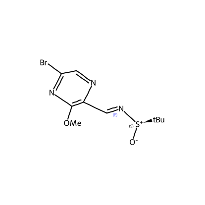 COc1nc(Br)cnc1/C=N/[S@+]([O-])C(C)(C)C